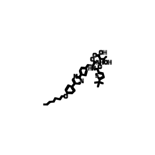 CCCCCCCOc1ccc(-c2cnc(-c3ccc(C[C@H](NC(=O)c4ccc(C(C)(C)C)s4)C(=O)N[C@H](C(=O)O)[C@@H](C)O)cc3)nc2)cc1